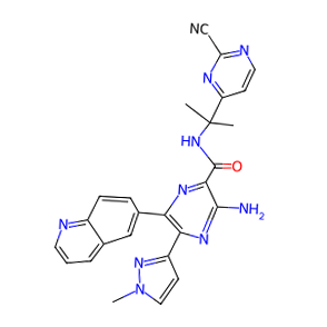 Cn1ccc(-c2nc(N)c(C(=O)NC(C)(C)c3ccnc(C#N)n3)nc2-c2ccc3ncccc3c2)n1